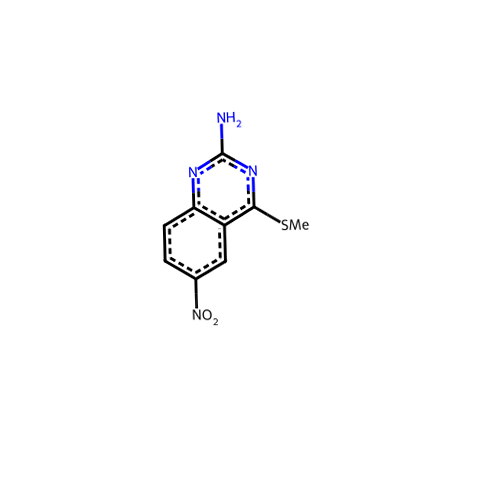 CSc1nc(N)nc2ccc([N+](=O)[O-])cc12